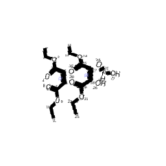 CCOC(=O)/C=C\C(=O)OCC.CCOC(=O)/C=C\C(=O)OCC.O=[PH](O)O